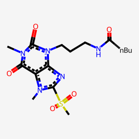 CCCCC(=O)NCCCn1c(=O)n(C)c(=O)c2c1nc(S(C)(=O)=O)n2C